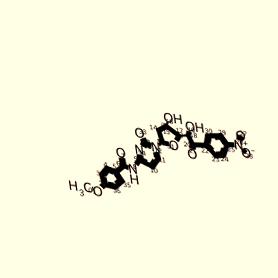 COc1ccc(C(=O)Nc2ccn([C@H]3C[C@H](O)[C@@H](C(O)C(=O)c4ccc([N+](=O)[O-])cc4)O3)c(=O)n2)cc1